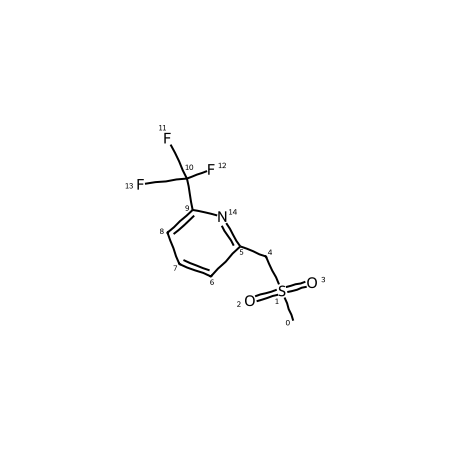 CS(=O)(=O)Cc1cccc(C(F)(F)F)n1